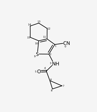 N#Cc1c(NC(=O)C2CC2)sc2c1CCCC2